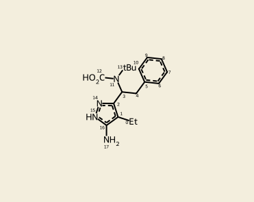 CCc1c(C(Cc2ccccc2)N(C(=O)O)C(C)(C)C)n[nH]c1N